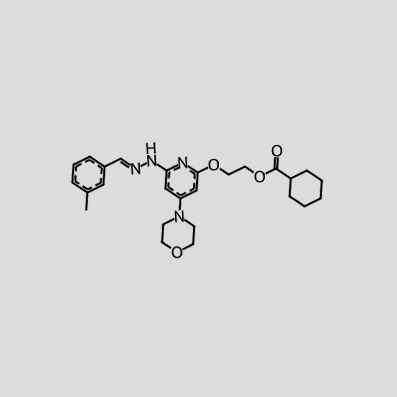 Cc1cccc(C=NNc2cc(N3CCOCC3)cc(OCCOC(=O)C3CCCCC3)n2)c1